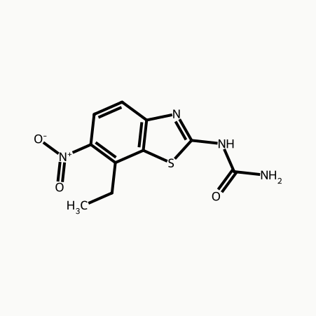 CCc1c([N+](=O)[O-])ccc2nc(NC(N)=O)sc12